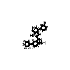 Fc1cccc(-c2cncc3[nH]c(-c4n[nH]c5ccc(-c6ccncc6)cc45)cc23)c1